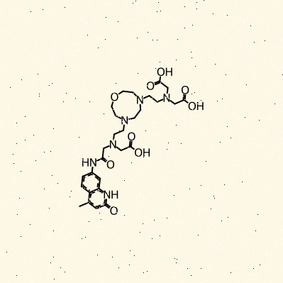 Cc1cc(=O)[nH]c2cc(NC(=O)CN(CCN3CCOCCN(CCN(CC(=O)O)CC(=O)O)CC3)CC(=O)O)ccc12